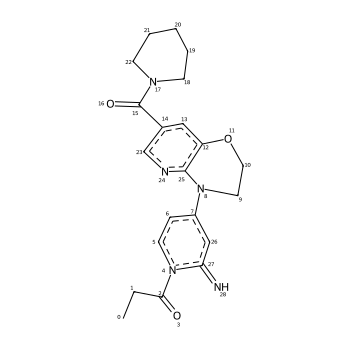 CCC(=O)n1ccc(N2CCOc3cc(C(=O)N4CCCCC4)cnc32)cc1=N